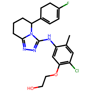 Cc1cc(Cl)c(OCCO)cc1Nc1nnc2n1C(C1=CC=C(F)CC1)CCC2